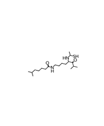 CC(C)CCCCC(=O)NCCCCC(NC(C)S)C(=O)C(C)C